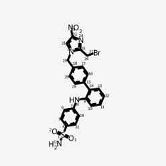 NS(=O)(=O)c1ccc(Nc2ccccc2-c2ccc(Cn3cc([N+](=O)[O-])nc3CBr)cc2)cc1